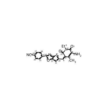 CCN1C(=O)C(N)=C(C)/C(=C/c2cc3oc(-c4ccc(C#N)cc4)nc3s2)C1=O